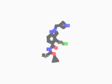 Cc1c(C(=O)NC(C)OC2CC2)ccc2nn(CC3CNC3)cc12.Cl